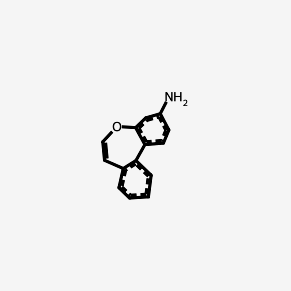 Nc1ccc2c(c1)OC=Cc1ccccc1-2